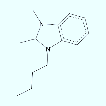 CCCCN1c2ccccc2N(C)C1C